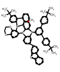 Cc1cc2c3c(c1)N(c1ccc(C(C)(C)C)cc1-c1ccccc1)c1c(ccc4c1OCCO4)B3c1ccc(-c3ccc4c(c3)sc3ccccc34)cc1N2c1cc(-c2ccc(C(C)(C)C)cc2)cc(-c2ccc(C(C)(C)C)cc2)c1